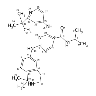 CC(C)NC(=O)c1cnc(Nc2ccc3c(c2)CCNC3(C)C)nc1Nc1ccnc(C(C)(C)C)c1